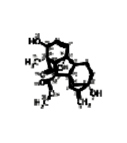 C=C1C[C@]23C[C@@]1(O)CCC2[C@@]12C=C[C@H](O)[C@](C)(C(=O)O1)C2[C@@H]3C(=O)OC